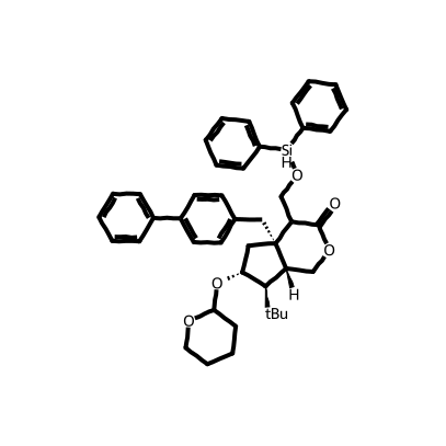 CC(C)(C)[C@@H]1[C@H]2COC(=O)C(CO[SiH](c3ccccc3)c3ccccc3)[C@]2(Cc2ccc(-c3ccccc3)cc2)C[C@H]1OC1CCCCO1